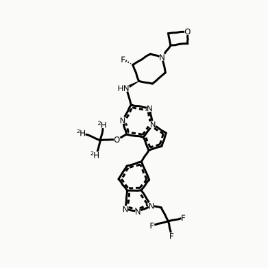 [2H]C([2H])([2H])Oc1nc(N[C@@H]2CCN(C3COC3)C[C@H]2F)nn2ccc(-c3ccc4nnn(CC(F)(F)F)c4c3)c12